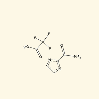 NC(=O)c1nccs1.O=C(O)C(F)(F)F